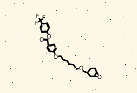 O=C(Oc1ccc(C(F)(F)F)cc1)c1ccc(OCCCCCCOCC2CCC3OC3C2)cc1